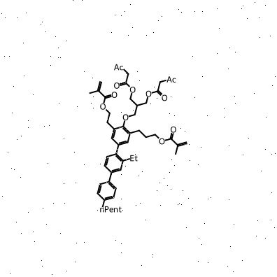 C=C(C)C(=O)OCCCc1cc(-c2ccc(-c3ccc(CCCCC)cc3)cc2CC)cc(CCOC(=O)C(=C)C)c1OCC(COC(=O)CC(C)=O)COC(=O)CC(C)=O